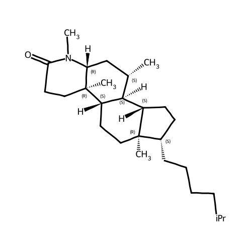 CC(C)CCCC[C@H]1CC[C@H]2[C@@H]3[C@@H](C)C[C@H]4N(C)C(=O)CC[C@]4(C)[C@H]3CC[C@]12C